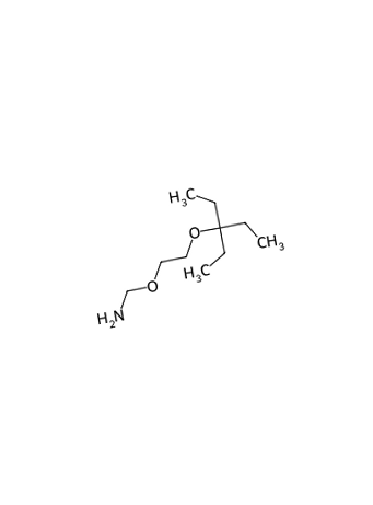 CCC(CC)(CC)OCCOCN